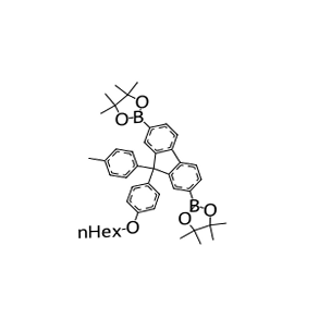 CCCCCCOc1ccc(C2(c3ccc(C)cc3)c3cc(B4OC(C)(C)C(C)(C)O4)ccc3-c3ccc(B4OC(C)(C)C(C)(C)O4)cc32)cc1